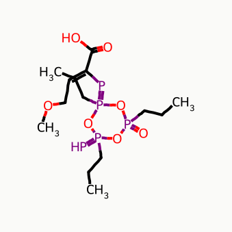 CCCP1(=O)OP(=P)(CCC)OP(CCC)(=P/C(=C\COC)C(=O)O)O1